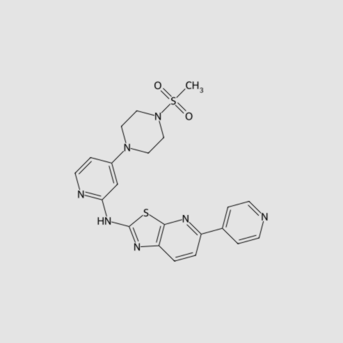 CS(=O)(=O)N1CCN(c2ccnc(Nc3nc4ccc(-c5ccncc5)nc4s3)c2)CC1